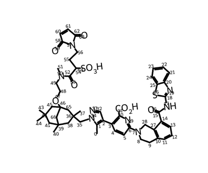 Cc1c(-c2ccc(N3CCc4cccc(C(=O)Nc5nc6ccccc6s5)c4C3)nc2C(=O)O)cnn1CC1(C)CC2(C)CC(C)(C)CC(OCCN(C)C(=O)C(CCN3C(=O)C=CC3=O)S(=O)(=O)O)(C1)C2